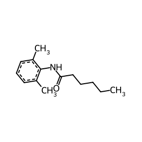 CCCCCC(=O)Nc1c(C)cccc1C